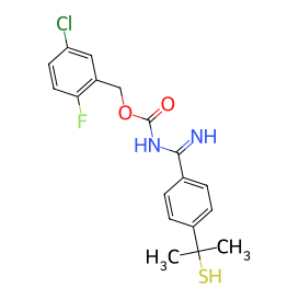 CC(C)(S)c1ccc(C(=N)NC(=O)OCc2cc(Cl)ccc2F)cc1